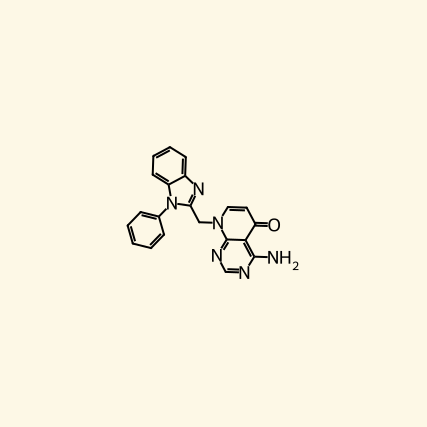 Nc1ncnc2c1c(=O)ccn2Cc1nc2ccccc2n1-c1ccccc1